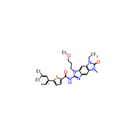 C/C=C(\C=C(CC)CC)c1ccc(C(=O)Nc2nc3cc4c(cc3n2CCCOCC)n(CC(F)(F)F)c(=O)n4C)s1